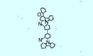 N#Cc1cc(-c2ccc(-n3c4ccccc4c4c5c(ccc43)oc3ccccc35)c(C#N)c2)ccc1-n1c2ccccc2c2ccccc21